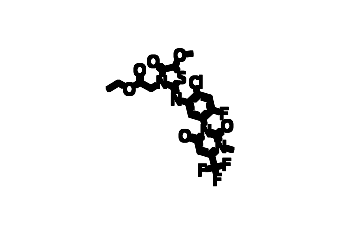 CCOC(=O)CN1C(=O)C(OC)SC1=Nc1cc(-n2c(=O)cc(C(F)(F)F)n(C)c2=O)c(F)cc1Cl